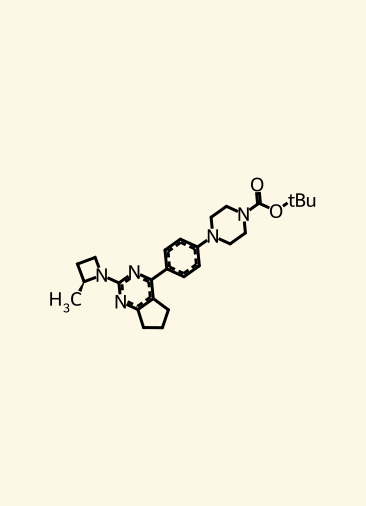 C[C@H]1CCN1c1nc2c(c(-c3ccc(N4CCN(C(=O)OC(C)(C)C)CC4)cc3)n1)CCC2